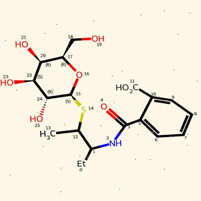 CCC(NC(=O)c1ccccc1C(=O)O)C(C)S[C@@H]1O[C@H](CO)[C@H](O)[C@H](O)[C@H]1O